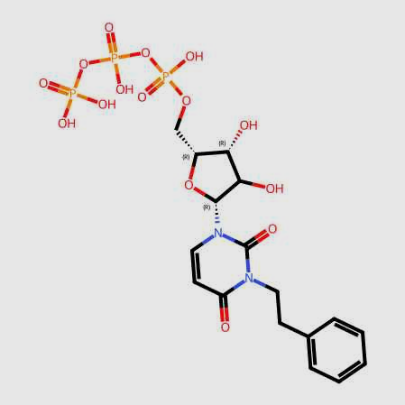 O=c1ccn([C@@H]2O[C@H](COP(=O)(O)OP(=O)(O)OP(=O)(O)O)[C@H](O)C2O)c(=O)n1CCc1ccccc1